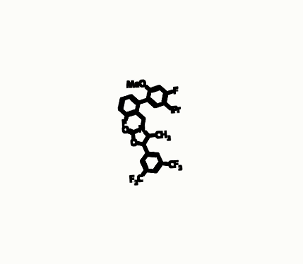 COc1cc(F)c(C(C)C)cc1-c1cccc(F)c1CN1C(=O)OC(c2cc(C(F)(F)F)cc(C(F)(F)F)c2)C1C